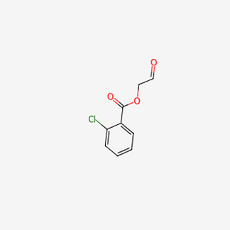 O=CCOC(=O)c1ccccc1Cl